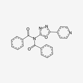 O=C(c1ccccc1)N(C(=O)c1ccccc1)c1nnc(-c2ccncc2)o1